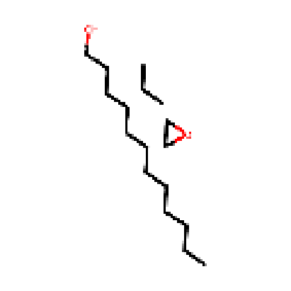 C1CO1.CCC.CCCCCCCCCCCCO